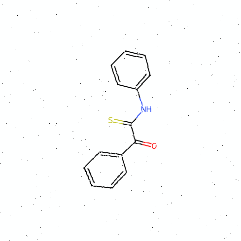 O=C(C(=S)Nc1ccccc1)c1ccccc1